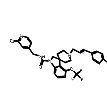 O=C(NCc1ccnc(Cl)c1)N1CC2(CCN(C/C=C/c3ccc(F)cc3)CC2)c2c(OC(F)(F)F)cccc21